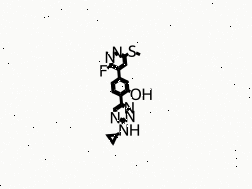 CSc1cc(-c2ccc(-c3cnc(NC4CC4)nn3)c(O)c2)c(F)nn1